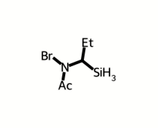 CCC([SiH3])N(Br)C(C)=O